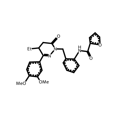 CCC1CC(=O)N(Cc2ccccc2NC(=O)c2ccco2)N=C1c1ccc(OC)c(OC)c1